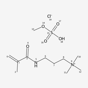 C=C(C)C(=O)NCCC[N+](C)(C)C.COS(=O)(=O)O.[Cl-]